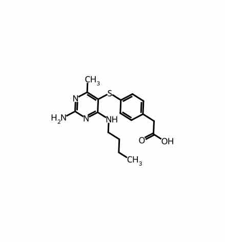 CCCCNc1nc(N)nc(C)c1Sc1ccc(CC(=O)O)cc1